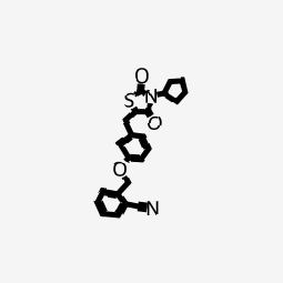 N#Cc1ccccc1COc1cccc(CC2SC(=O)N(C3CCCC3)C2=O)c1